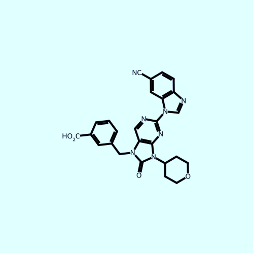 N#Cc1ccc2ncn(-c3ncc4c(n3)n(C3CCOCC3)c(=O)n4Cc3cccc(C(=O)O)c3)c2c1